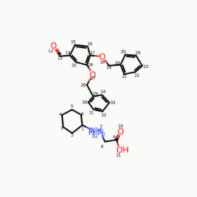 NC1CCCCC1.NCC(=O)O.O=Cc1ccc(OCc2ccccc2)c(OCc2ccccc2)c1